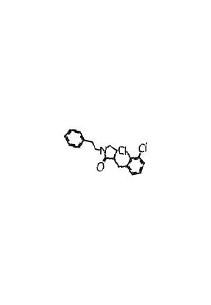 O=C1C(Cc2cccc(Cl)c2Cl)CCN1CCc1ccccc1